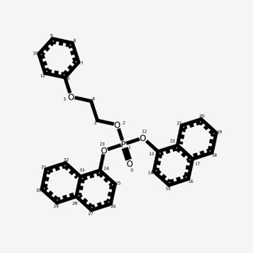 O=P(OCCOc1ccccc1)(Oc1cccc2ccccc12)Oc1cccc2ccccc12